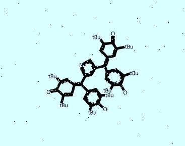 CC(C)(C)C1=CC(=C(c2cncc(C(=C3C=C(C(C)(C)C)C(=O)C(C(C)(C)C)=C3)c3cc(C(C)(C)C)c([O])c(C(C)(C)C)c3)c2)c2cc(C(C)(C)C)c([O])c(C(C)(C)C)c2)C=C(C(C)(C)C)C1=O